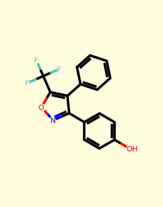 Oc1ccc(-c2noc(C(F)(F)F)c2-c2ccccc2)cc1